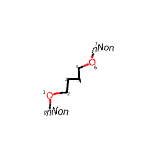 CCCCCCCCCOCCCCOCCCCCCCCC